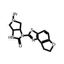 CC(C)N1CC2NC(=O)N(c3nc4c5c(ccc4s3)OCC5)C2C1